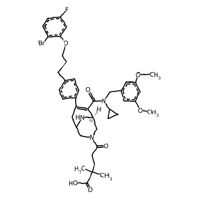 COc1cc(CN(C(=O)C2=C(c3ccc(CCCOc4cc(F)ccc4Br)cc3)CC3CN(C(=O)CCC(C)(C)C(=O)O)C[C@H]2N3)C2CC2)cc(OC)c1